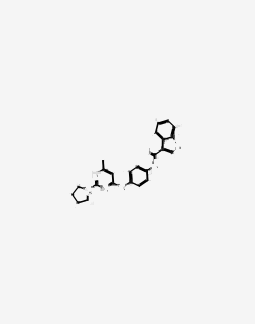 Cc1cc(Nc2ccc(NC(=O)c3c[nH]c4ccccc34)cc2)nc(N2CCCC2)n1